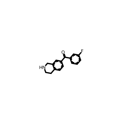 O=C(c1cccc(F)c1)c1ccc2c(c1)CNCC2